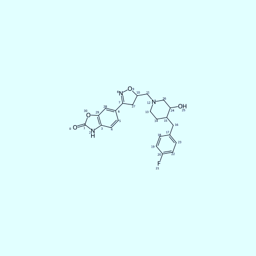 O=c1[nH]c2ccc(C3=NOC(CN4CCC(Cc5ccc(F)cc5)C(O)C4)C3)cc2o1